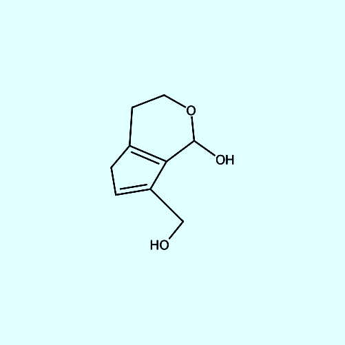 OCC1=CCC2=C1C(O)OCC2